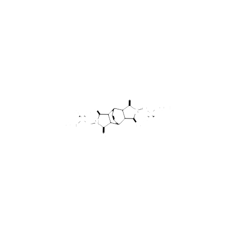 CCCCCCCCS(=O)(=O)ON1C(=O)C2C3C=CC(C2C1=O)C1C(=O)N(OS(=O)(=O)CCCCCCCC)C(=O)C31